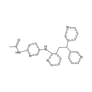 CC(=O)Nc1ccc(Nc2ncccc2CC(c2cccnc2)c2cccnc2)cn1